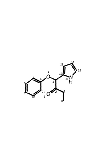 CCC(=O)C(Oc1ccccc1)c1ccc[nH]1